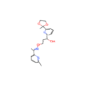 C/C(=N\OCCC(O)c1cccc(C2(C)OCCO2)n1)c1cccc(C)n1